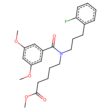 COC(=O)CCCCN(CCCc1ccccc1F)C(=O)c1cc(OC)cc(OC)c1